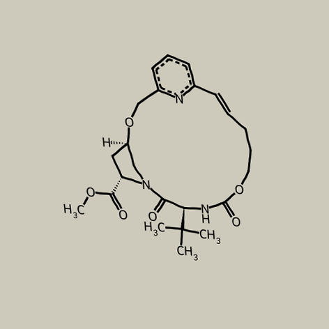 COC(=O)[C@@H]1C[C@@H]2CN1C(=O)[C@H](C(C)(C)C)NC(=O)OCCC/C=C/c1cccc(n1)CO2